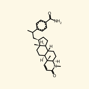 CC(C[C@H]1CC[C@H]2[C@@H]3CC[C@H]4N(C)C(=O)C=C[C@]4(C)[C@H]3CC[C@]12C)c1ccc(C(N)=O)cc1